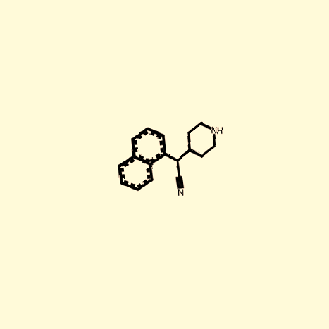 N#CC(c1cccc2ccccc12)C1CCNCC1